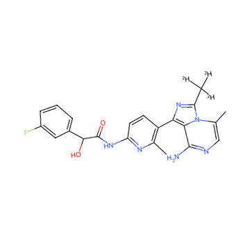 [2H]C([2H])([2H])c1nc(-c2ccc(NC(=O)C(O)c3cccc(F)c3)nc2C)c2c(N)ncc(C)n12